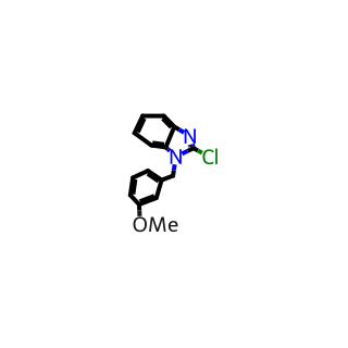 COc1cccc(Cn2c(Cl)nc3ccccc32)c1